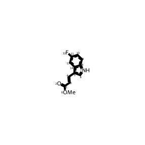 COC(=O)C=Cc1c[nH]c2ccc(F)cc12